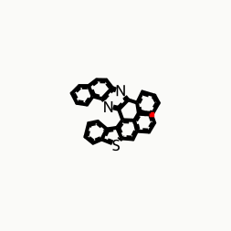 c1ccc(-c2nc3ccc4ccccc4c3nc2-c2c3ccccc3cc3sc4ccccc4c23)cc1